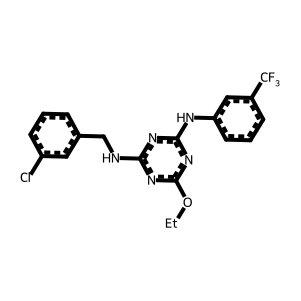 CCOc1nc(NCc2cccc(Cl)c2)nc(Nc2cccc(C(F)(F)F)c2)n1